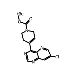 CC(C)(C)OC(=O)N1CC=C(c2ncnc3cc(Cl)cnc23)CC1